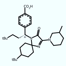 CC1CCCN(C2=NC3(CCC(C(C)(C)C)CC3)N([C@H](CCC(C)(C)C)c3ccc(C(=O)O)cc3)C2=O)C1